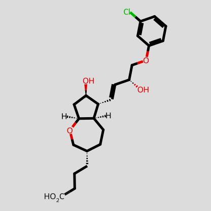 O=C(O)CCC[C@H]1CC[C@@H]2[C@@H](C=C[C@@H](O)COc3cccc(Cl)c3)[C@H](O)C[C@@H]2OC1